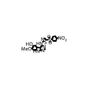 COc1cc2[nH]c3ncnc(Nc4ncc(S(=O)(=O)c5ccc([N+](=O)[O-])cc5)s4)c3c2cc1O